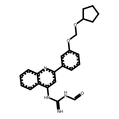 N=C(NC=O)Nc1cc(-c2cccc(OCOC3CCCC3)c2)nc2ccccc12